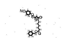 N#Cc1ccc(OOc2cc(=O)n(CCCCCC(=O)OCc3ccccc3)s2)cc1